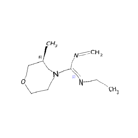 C=N/C(=N\CC)N1CCOC[C@H]1C